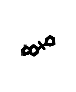 CC(C)(c1ccccc1)c1ccc2[nH]nnc2c1